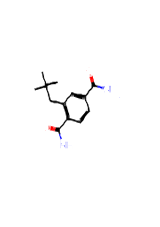 CC(C)(C)Cc1cc(C(N)=O)ccc1C(N)=O